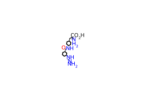 NN=CNc1cccc(C(=O)Nc2ccc(C[C@H](N)C(=O)O)cc2)c1